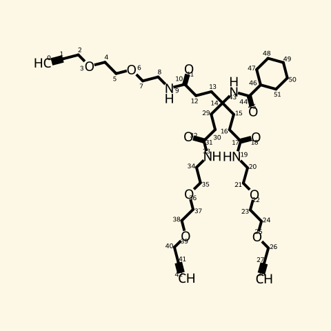 C#CCOCCOCCNC(=O)CCC(CCC(=O)NCCOCCOCC#C)(CCC(=O)NCCOCCOCC#C)NC(=O)C1CCCCC1